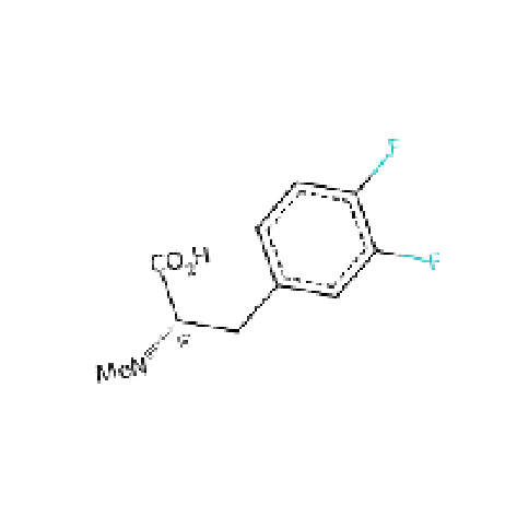 CN[C@@H](Cc1ccc(F)c(F)c1)C(=O)O